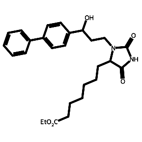 CCOC(=O)CCCCCCC1C(=O)NC(=O)N1CCC(O)c1ccc(-c2ccccc2)cc1